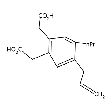 C=CCc1cc(CC(=O)O)c(CC(=O)O)cc1CCC